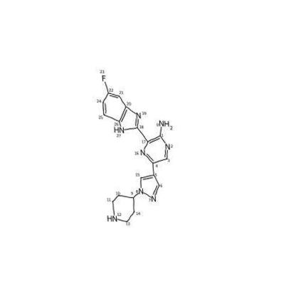 Nc1ncc(-c2cnn(C3CCNCC3)c2)nc1-c1nc2cc(F)ccc2[nH]1